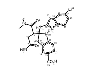 CN(C)C(=O)C(CC(N)=O)C1(Nc2nc3ccc(Cl)cc3s2)Nc2cc(C(=O)O)ccc2N1C